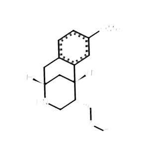 CCSC[C@@H]1CN[C@@H]2Cc3ccc(OC)cc3[C@H]1C2